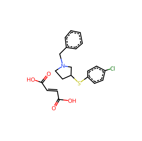 Clc1ccc(SC2CCN(Cc3ccccc3)C2)cc1.O=C(O)C=CC(=O)O